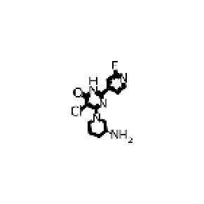 N[C@@H]1CCCN(c2nc(-c3ccnc(F)c3)[nH]c(=O)c2Cl)C1